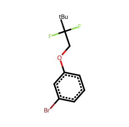 CC(C)(C)C(F)(F)COc1cccc(Br)c1